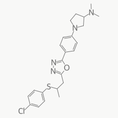 CC(Cc1nnc(-c2ccc(N3CCC(N(C)C)C3)cc2)o1)Sc1ccc(Cl)cc1